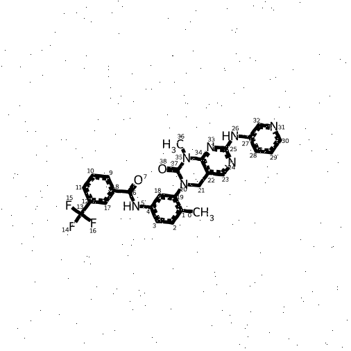 Cc1ccc(NC(=O)c2cccc(C(F)(F)F)c2)cc1N1Cc2cnc(Nc3cccnc3)nc2N(C)C1=O